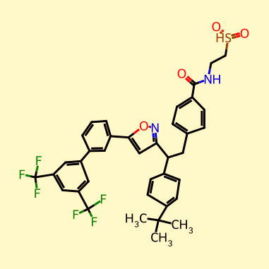 CC(C)(C)c1ccc(C(Cc2ccc(C(=O)NCC[SH](=O)=O)cc2)c2cc(-c3cccc(-c4cc(C(F)(F)F)cc(C(F)(F)F)c4)c3)on2)cc1